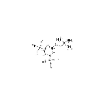 CC(C)(N)CCc1cc(C(F)(F)F)cc(C(F)(F)F)c1